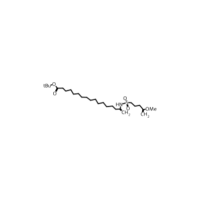 C=C(CCCCCCCCCCCCCCC(=O)OC(C)(C)C)NS(=O)(=O)CCCC(=C)OC